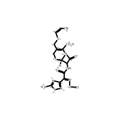 CCON=C(C(=O)NC1C(=O)N2C(C(=O)O)=C(CS/C=C\C#N)CS[C@@H]12)c1nsc(N)n1